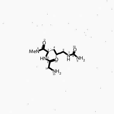 CNC(=O)[C@H](CCCNC(N)=O)NC(=O)CN